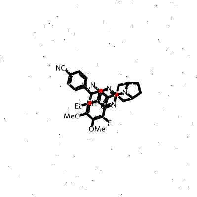 CCNC(CC(=O)N1CC2CCC(C1)N2c1nc(N)c2cc(OC)c(OC)c(F)c2n1)c1ccc(C#N)cc1